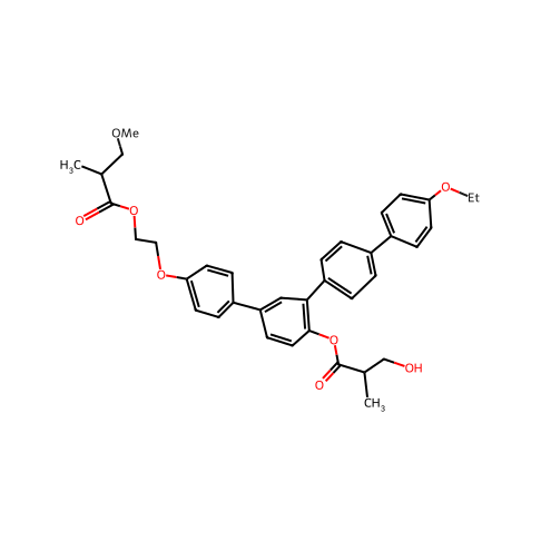 CCOc1ccc(-c2ccc(-c3cc(-c4ccc(OCCOC(=O)C(C)COC)cc4)ccc3OC(=O)C(C)CO)cc2)cc1